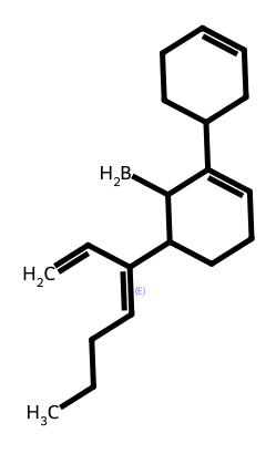 BC1C(C2CC=CCC2)=CCCC1/C(C=C)=C/CCC